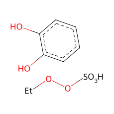 CCOOS(=O)(=O)O.Oc1ccccc1O